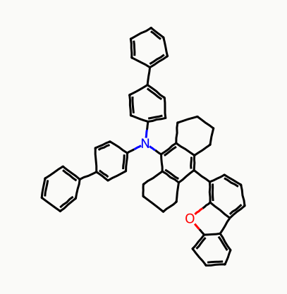 c1ccc(-c2ccc(N(c3ccc(-c4ccccc4)cc3)c3c4c(c(-c5cccc6c5oc5ccccc56)c5c3CCCC5)CCCC4)cc2)cc1